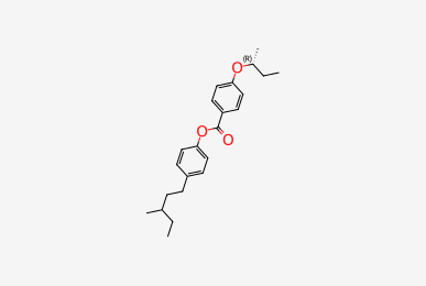 CCC(C)CCc1ccc(OC(=O)c2ccc(O[C@H](C)CC)cc2)cc1